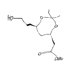 CC(C)COC(=O)C[C@H]1C[C@@H](CCO)OC(C)(C)O1